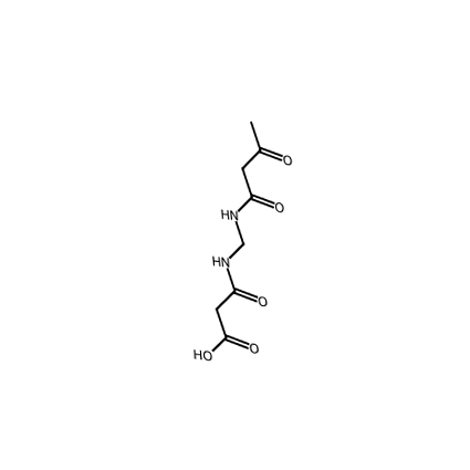 CC(=O)CC(=O)NCNC(=O)CC(=O)O